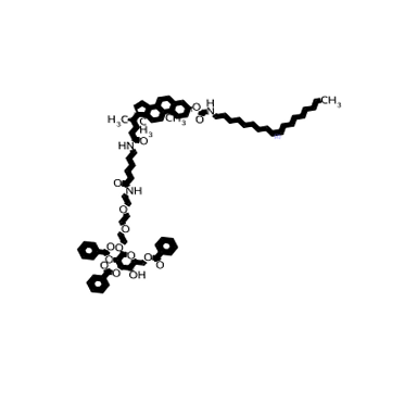 CCCCCCCC/C=C\CCCCCCCCNC(=O)O[C@@H]1CC[C@@]2(C)C(CCC3C2CC[C@@]2(C)C3CC[C@@H]2[C@H](C)CCC(=O)NCCCCCC(=O)NCCOCCOCCO[C@H]2OC(COC(=O)c3ccccc3)[C@@H](O)C(OC(=O)c3ccccc3)C2OC(=O)c2ccccc2)C1